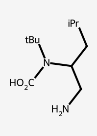 CC(C)CC(CN)N(C(=O)O)C(C)(C)C